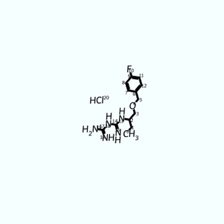 CCC(COCc1ccc(F)cc1)NC(=N)NC(=N)N.Cl